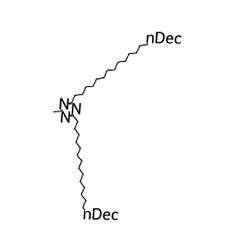 CCCCCCCCCCCCCCCCCCCCCCCCc1nc(C)nc(CCCCCCCCCCCCCCCCCCCCCCCC)n1